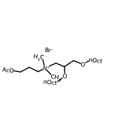 CCCCCCCCOCC(C[N+](C)(C)CCCOC(C)=O)OCCCCCCCC.[Br-]